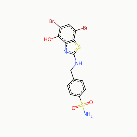 NS(=O)(=O)c1ccc(CNc2nc3c(O)c(Br)cc(Br)c3s2)cc1